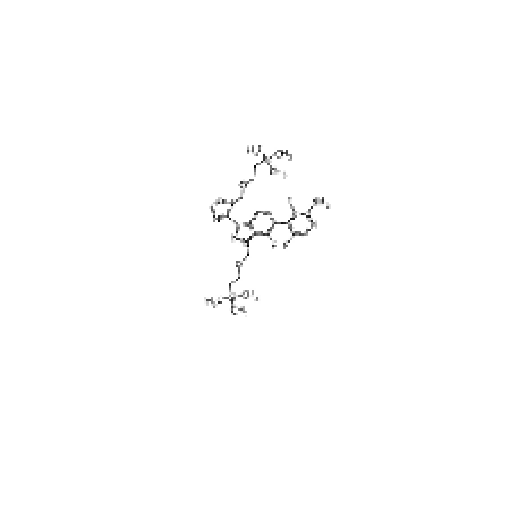 C[Si](C)(C)CCOCn1ccnc1-c1nn(COCC[Si](C)(C)C)c2c(F)c(-c3c(F)cnc(N)c3F)ccc12